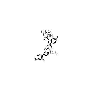 C[C@@H](c1ccc(-c2ccc(F)cc2F)cc1)N1CC[C@](CCC(=O)NS(C)(=O)=O)(c2ccc(F)cc2)OC1=O